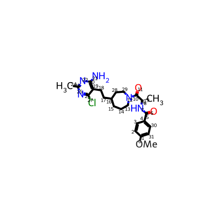 COc1ccc(C(=O)N[C@@H](C)C(=O)N2CCCC(CCc3c(N)nc(C)nc3Cl)CC2)cc1